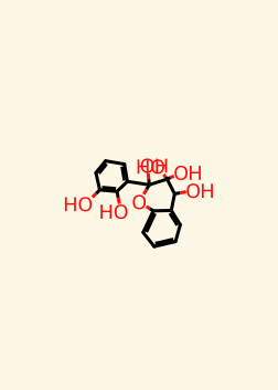 Oc1cccc(C2(O)Oc3ccccc3C(O)C2(O)O)c1O